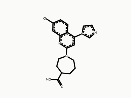 O=C(O)C1CCCN(c2cc(-n3ccnc3)c3ccc(Cl)cc3n2)CC1